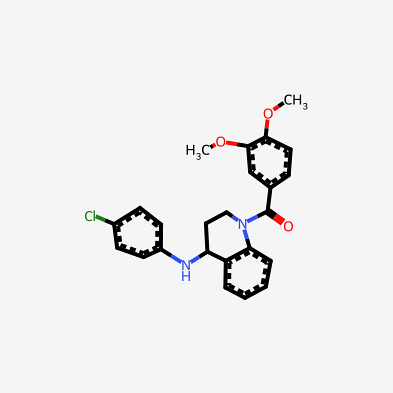 COc1ccc(C(=O)N2CCC(Nc3ccc(Cl)cc3)c3ccccc32)cc1OC